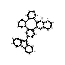 c1ccc2c(c1)-c1cc(-n3c4ccccc4c4ccccc43)ccc1-c1cc3cccnc3nc1-c1ccccc1-2